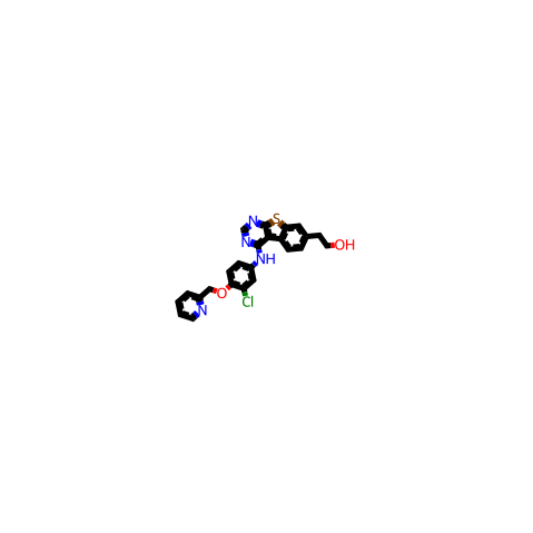 OCCc1ccc2c(c1)sc1ncnc(Nc3ccc(OCc4ccccn4)c(Cl)c3)c12